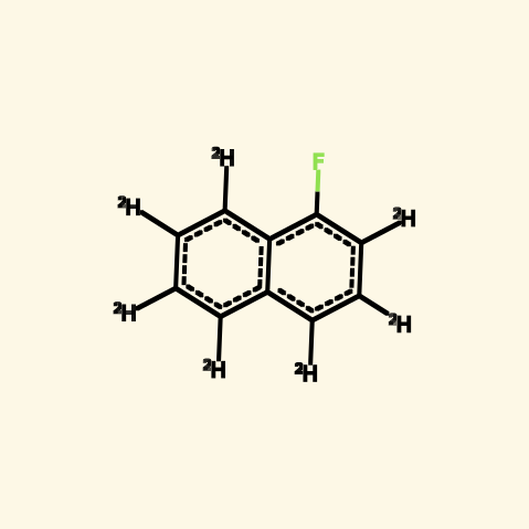 [2H]c1c([2H])c([2H])c2c(F)c([2H])c([2H])c([2H])c2c1[2H]